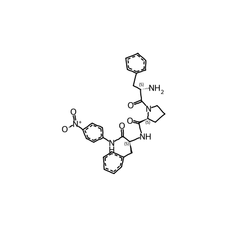 N[C@@H](Cc1ccccc1)C(=O)N1CCC[C@H]1C(=O)N[C@@H](Cc1ccccc1)C(=O)Nc1ccc([N+](=O)[O-])cc1